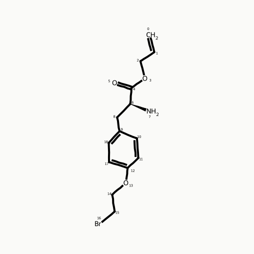 C=CCOC(=O)[C@@H](N)Cc1ccc(OCCBr)cc1